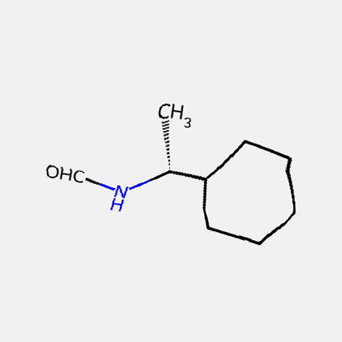 C[C@@H](NC=O)C1CCCCC1